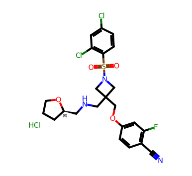 Cl.N#Cc1ccc(OCC2(CNC[C@H]3CCCO3)CN(S(=O)(=O)c3ccc(Cl)cc3Cl)C2)cc1F